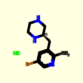 Cl.O=[N+]([O-])c1ncc(Br)cc1C[C@H]1CNCCN1